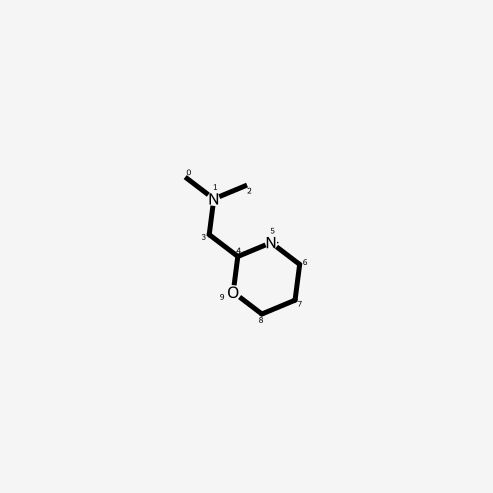 CN(C)CC1[N]CCCO1